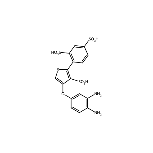 Nc1ccc(Oc2csc(-c3ccc(S(=O)(=O)O)cc3S(=O)(=O)O)c2S(=O)(=O)O)cc1N